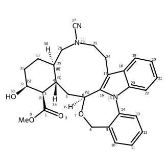 COC(=O)[C@@H]1[C@H]2C[C@@H]3OCc4ccccc4-n4c3c(c3ccccc34)CCN(C#N)C[C@@H]2CC[C@@H]1O